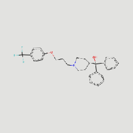 OC(c1ccccc1)(c1ccccc1)C1CCN(CCCOc2ccc(C(F)(F)F)cc2)CC1